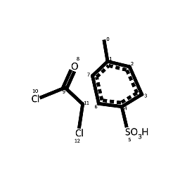 Cc1ccc(S(=O)(=O)O)cc1.O=C(Cl)CCl